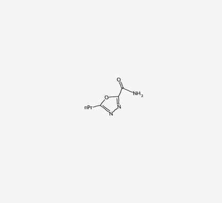 CCCc1nnc(C(N)=O)o1